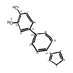 C1=CCC=C1.Oc1ccc(-c2ccccc2)cc1O